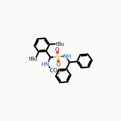 CC(C)(C)c1cccc(C(C)(C)C)c1C(NC(=O)O)S(=O)(=O)NC(c1ccccc1)c1ccccc1